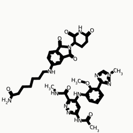 CNC(=O)c1nnc(NC(C)=O)cc1Nc1cccc(-c2ncn(C)n2)c1OC.NC(=O)CCCCCCNc1ccc2c(c1)C(=O)N(C1CCC(=O)NC1=O)C2=O